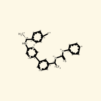 C[C@@H](Nc1cnc(-c2cncc(C(OC(=S)Oc3ccccc3)C(F)(F)F)c2)cn1)c1ccc(F)cc1